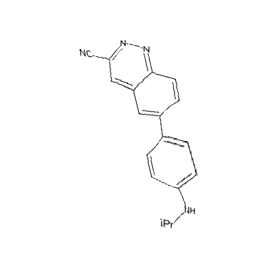 CC(C)Nc1ccc(-c2ccc3nnc(C#N)cc3c2)cc1